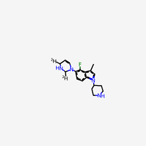 [2H]C1C=CN(c2ccc3c(c(C)cn3C3CCNCC3)c2F)C([2H])N1